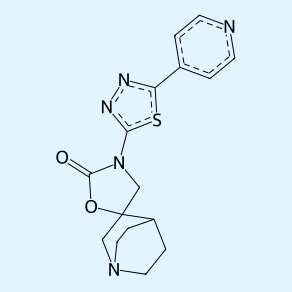 O=C1OC2(CN3CCC2CC3)CN1c1nnc(-c2ccncc2)s1